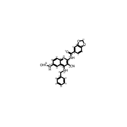 N#Cc1c(NC(=O)c2ccc3c(c2)OCO3)nc2ccc(NC=O)cc2c1NCc1ccccc1